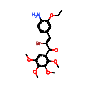 CCOc1cc(C=C(Br)C(=O)c2cc(OC)c(OC)c(OC)c2OC)ccc1N